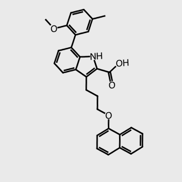 COc1ccc(C)cc1-c1cccc2c(CCCOc3cccc4ccccc34)c(C(=O)O)[nH]c12